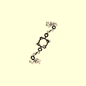 C[N+](C)(C)c1cccc(OCCOc2ccc(-c3c4nc(cc5ccc([nH]5)c(-c5ccc(OCCOc6cccc([N+](C)(C)C)c6)cc5)c5nc(cc6ccc3[nH]6)C=C5)C=C4)cc2)c1